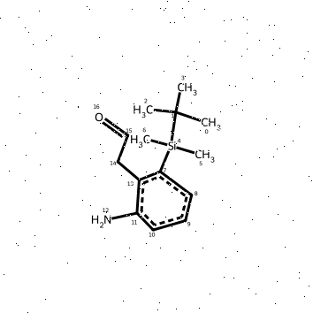 CC(C)(C)[Si](C)(C)c1cccc(N)c1CC=O